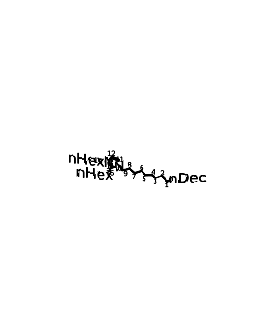 CCCCCCCCCCCCCCCCCCCN1C=CN(CCCCCC)C1CCCCCC